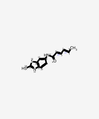 C/C=C/C=C/C(=O)Nc1ccc2nc(S)sc2c1